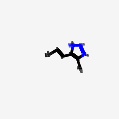 [2H]c1nn[nH]c1C=CCC